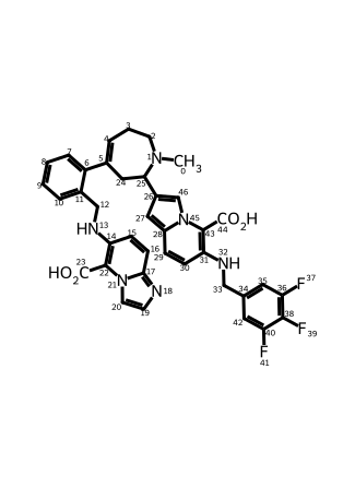 CN1CCC=C(c2ccccc2CNc2ccc3nccn3c2C(=O)O)CC1c1cc2ccc(NCc3cc(F)c(F)c(F)c3)c(C(=O)O)n2c1